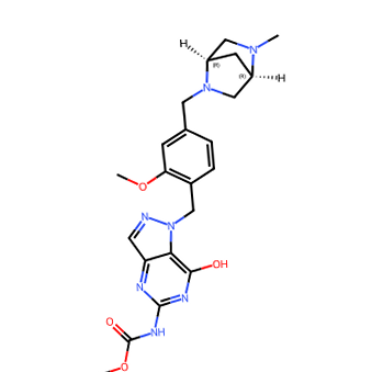 COC(=O)Nc1nc(O)c2c(cnn2Cc2ccc(CN3C[C@H]4C[C@@H]3CN4C)cc2OC)n1